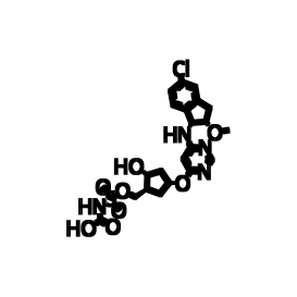 CO[C@@H]1Cc2cc(Cl)ccc2[C@H]1Nc1cc(O[C@@H]2C[C@@H](COS(=O)(=O)NC(=O)O)[C@H](O)C2)ncn1